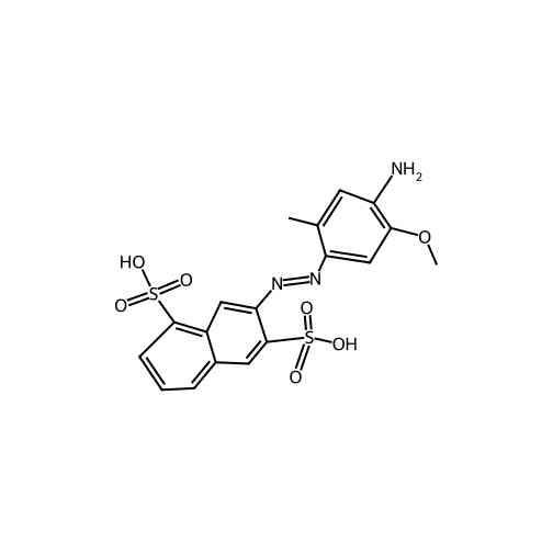 COc1cc(N=Nc2cc3c(S(=O)(=O)O)cccc3cc2S(=O)(=O)O)c(C)cc1N